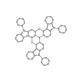 c1ccc(-n2c3ccccc3c3c4c(ccc32)B2c3ccc5c(c3Oc3c2c(cc2c3c3ccccc3n2-c2ccccc2)O4)c2ccccc2n5-c2ccccc2)cc1